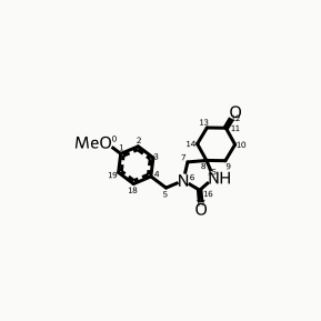 COc1ccc(CN2CC3(CCC(=O)CC3)NC2=O)cc1